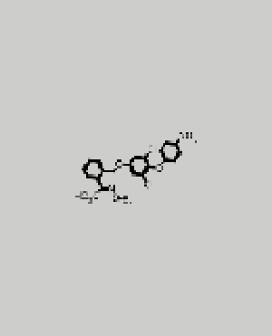 CCON=C(C(=O)O)c1ccccc1COc1cc(Cl)c(Oc2ccc([N+](=O)[O-])cc2)c(Cl)c1